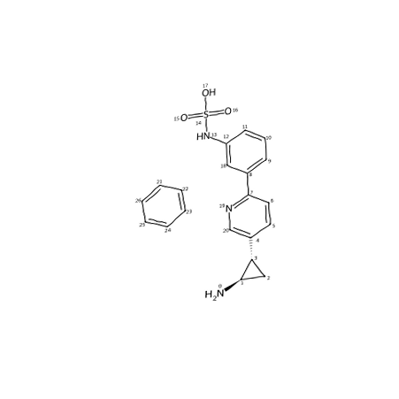 N[C@@H]1C[C@H]1c1ccc(-c2cccc(NS(=O)(=O)O)c2)nc1.c1ccccc1